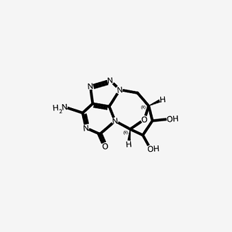 Nc1nc(=O)n2c3c1nnn3C[C@H]1O[C@@H]2C(O)C1O